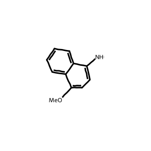 COc1ccc([NH])c2ccccc12